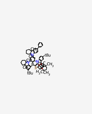 CC(C)(C)c1ccc(N2c3cc(N4c5ccc(-c6ccccc6)cc5C5(C)CCCCC45C)cc4c3B(c3cc(C(C)(C)C)cc5c3N4C3(C)CCCCC53C)c3sc4cc5c(cc4c32)C(C)(C)CCC5(C)C)c(-c2ccccc2)c1